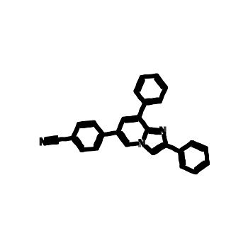 N#Cc1ccc(-c2cc(-c3ccccc3)c3nc(-c4ccccc4)cn3c2)cc1